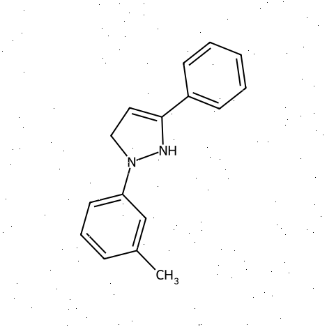 Cc1cccc(N2CC=C(c3ccccc3)N2)c1